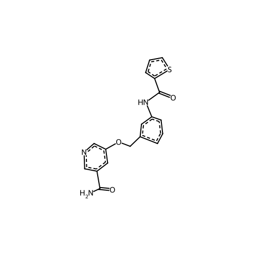 NC(=O)c1cncc(OCc2cccc(NC(=O)c3cccs3)c2)c1